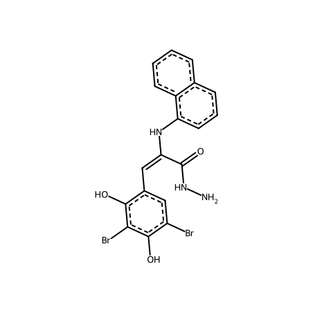 NNC(=O)C(=Cc1cc(Br)c(O)c(Br)c1O)Nc1cccc2ccccc12